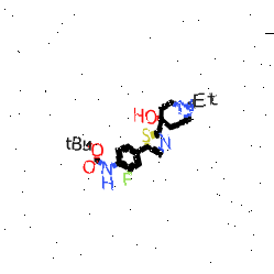 CCN1CCC(O)(c2ncc(-c3ccc(NC(=O)OC(C)(C)C)c(F)c3)s2)CC1